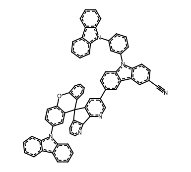 N#Cc1ccc2c(c1)c1cc(-c3cnc4c(c3)C3(c5ccccc5Oc5ccc(-n6c7ccccc7c7ccccc76)cc53)c3cccnc3-4)ccc1n2-c1cccc(-n2c3ccccc3c3ccccc32)c1